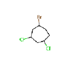 ClC1CCC(Br)CC(Cl)C1